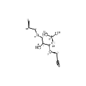 C#CCOCC(O)COCC=C.OP(Cl)Cl